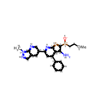 COCC[S+]([O-])c1sc2nc(-c3cnc4c(cnn4C)c3)cc(-c3ccccc3)c2c1N